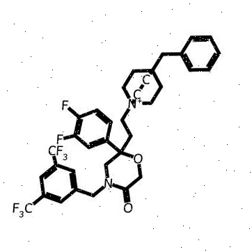 O=C1COC(CC[N+]23CCC(Cc4ccccc4)(CC2)CC3)(c2ccc(F)c(F)c2)CN1Cc1cc(C(F)(F)F)cc(C(F)(F)F)c1